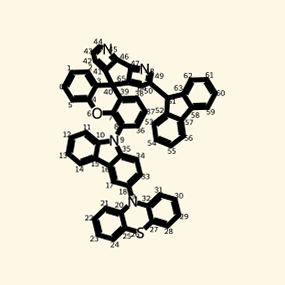 c1ccc2c(c1)Oc1c(-n3c4ccccc4c4cc(N5c6ccccc6Sc6ccccc65)ccc43)cccc1C21c2cccnc2-c2ncc(C3c4ccccc4-c4ccccc43)cc21